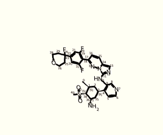 C[C@H]1C[C@@H](c2ccncc2Nc2ncc3ccc(-c4c(F)cc(C5(F)CCOCC5)cc4F)nn23)C[C@@H](N)[C@H]1S(C)(=O)=O